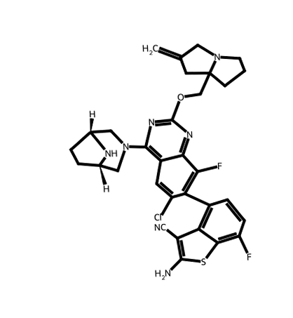 C=C1CN2CCCC2(COc2nc(N3C[C@H]4CC[C@@H](C3)N4)c3cc(Cl)c(-c4ccc(F)c5sc(N)c(C#N)c45)c(F)c3n2)C1